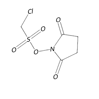 O=C1CCC(=O)N1OS(=O)(=O)CCl